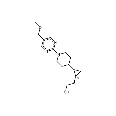 COCc1cnc(N2CCC(C3C[C@H]3CCO)CC2)nc1